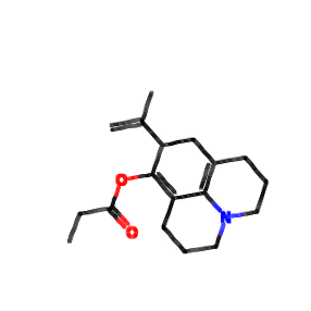 C=C(C)C1CC2=C3C(=C1OC(=O)CC)CCCN3CCC2